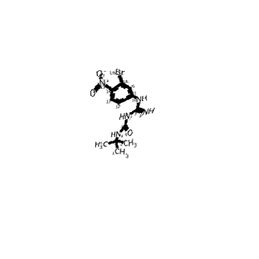 CC(C)(C)NC(=O)NC(=N)Nc1ccc([N+](=O)[O-])c(Br)c1